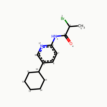 CC(Br)C(=O)Nc1ccc(C2CCCCC2)cn1